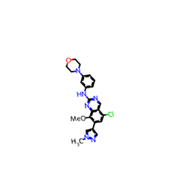 COc1c(-c2cnn(C)c2)cc(Cl)c2cnc(Nc3cccc(N4CCOCC4)c3)nc12